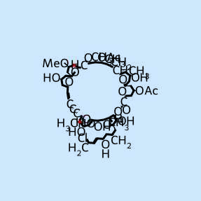 C=C(Cl)/C=C/C(O)CC(=C)C[C@H]1OC2C(C)[C@@H](OC(=O)CC3C[C@H](OC(C)=O)C[C@@]4(C[C@@](C)(O)C[C@H](CC(=C)C(C)C(OC(C)=O)C(C)C(=O)C[C@@H]5C[C@H](OC)C[C@@]6(C[C@@H](O)CC(/C=C\CCC[C@H]7OC(O)(CC(O)[C@H]7C)C2O)O6)O5)O4)O3)C1O